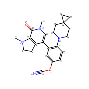 CN1CCc2c(-c3cc(OC#N)ccc3N3CCC4(CC3)CC4)cn(C)c(=O)c21